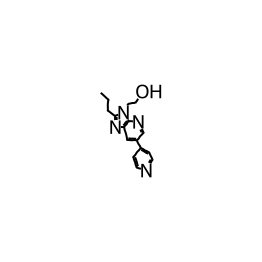 CCCc1nc2cc(-c3ccncc3)cnc2n1CCO